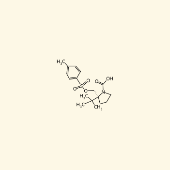 Cc1ccc(S(=O)(=O)OC[C@@]2(C(C)(C)C)CCCN2C(=O)O)cc1